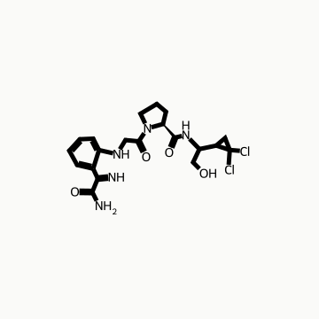 N=C(C(N)=O)c1ccccc1NCC(=O)N1CCC[C@H]1C(=O)NC(CO)C1CC1(Cl)Cl